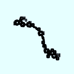 Cn1c2ccncc2c2ccc(-c3ccc(OCCCOc4ccc(C#CCOC5CN(c6ccc7c(c6)C(=O)N(C6CCC(=O)NC6=O)C7=O)C5)nc4)nc3)cc21